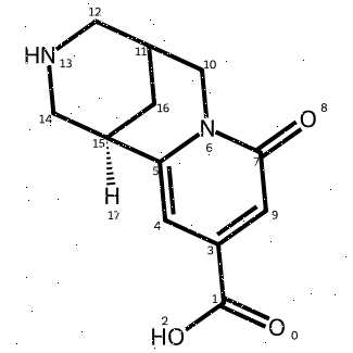 O=C(O)c1cc2n(c(=O)c1)CC1CNC[C@H]2C1